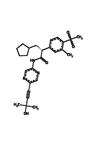 Cc1cc([C@@H](CC2CCCC2)C(=O)Nc2cnc(C#CC(C)(C)O)cn2)ccc1S(C)(=O)=O